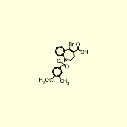 COc1ccc(S(=O)(=O)N2CCC(C(=O)O)=C(Br)c3ccccc32)cc1C